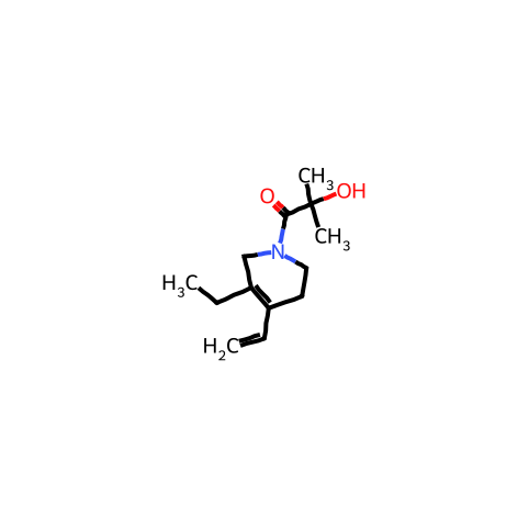 C=CC1=C(CC)CN(C(=O)C(C)(C)O)CC1